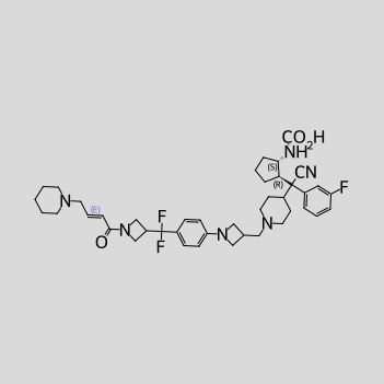 N#CC(c1cccc(F)c1)(C1CCN(CC2CN(c3ccc(C(F)(F)C4CN(C(=O)/C=C/CN5CCCCC5)C4)cc3)C2)CC1)[C@H]1CCC[C@@H]1NC(=O)O